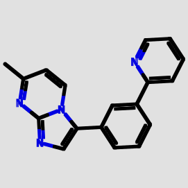 Cc1ccn2c(-c3cccc(-c4ccccn4)c3)cnc2n1